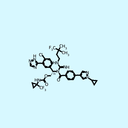 CC(C)(CCNC(=N)N(C(=O)c1ccc(-c2cnn(C3CC3)c2)cc1)[C@H](COC(=O)NC1(C(F)(F)F)CC1)c1ccc(Cl)c(-c2ncn[nH]2)c1)C(F)(F)F